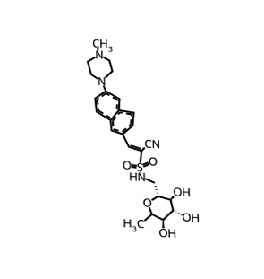 CC1O[C@H](CNS(=O)(=O)/C(C#N)=C/c2ccc3cc(N4CCN(C)CC4)ccc3c2)[C@@H](O)[C@H](O)[C@H]1O